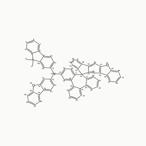 CC1(C)c2ccccc2-c2ccc(N(c3ccc4c(c3)-c3ccccc3-c3ccccc3C43c4ccccc4-c4cc5oc6ccccc6c5cc43)c3ccc4c(c3)oc3ccccc34)cc21